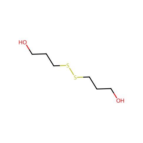 OCCCSSCCCO